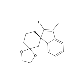 CC1=C(F)[C@]2(CCCC3(C2)OCCO3)c2ccccc21